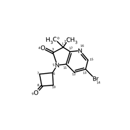 CC1(C)C(=O)N(C2CC(=O)C2)c2cc(Br)cnc21